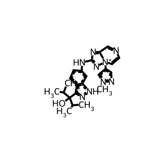 CC(C)C(O)(c1n[nH]c2cc(NC3=N[N+]4(c5cnn(C)c5)C=CN=CC4=N3)ccc12)C(C)C